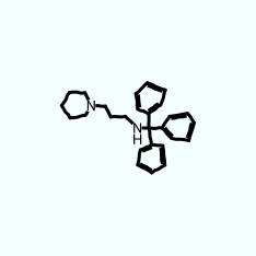 c1ccc(C(NCCCN2CCCCC2)(c2ccccc2)c2ccccc2)cc1